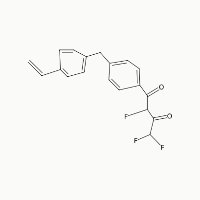 C=Cc1ccc(Cc2ccc(C(=O)C(F)C(=O)C(F)F)cc2)cc1